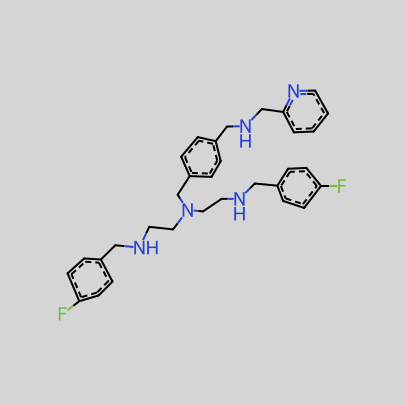 Fc1ccc(CNCCN(CCNCc2ccc(F)cc2)Cc2ccc(CNCc3ccccn3)cc2)cc1